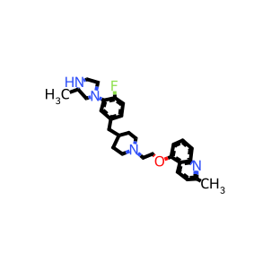 Cc1ccc2c(OCCN3CCC(Cc4ccc(F)c(N5CCNC(C)C5)c4)CC3)cccc2n1